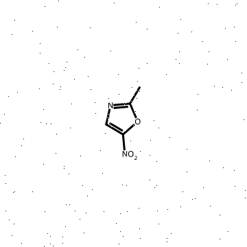 Cc1ncc([N+](=O)[O-])o1